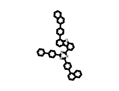 c1ccc(-c2ccc(-c3nc(-c4ccc(-c5cccc6ccccc56)cc4)nc(-c4cccc5oc6c(-c7ccc(-c8ccc9ccccc9c8)cc7)cccc6c45)n3)cc2)cc1